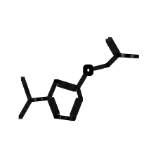 C=C(C)COc1cccc(C(C)C)c1